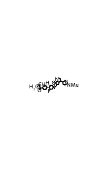 CNc1ccc(-c2ccnc3c2cc(CN2CC[C@@H](c4ccc(C(=O)N(C)C)cc4)[C@H](F)C2)n3C)cn1